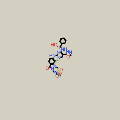 CN1Cn2c(=O)c3ccc(Nc4ncc(-c5nnco5)c(N[C@H](CO)c5ccccc5)n4)c(F)c3n2CS1(=O)=O